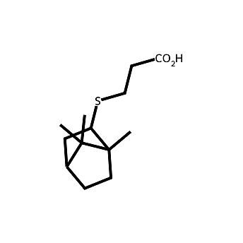 CC1(C)C2CCC1(C)C(SCCC(=O)O)C2